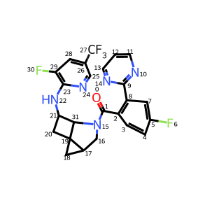 O=C(c1ccc(F)cc1-c1ncccn1)N1CC2CC23CC(Nc2ncc(C(F)(F)F)cc2F)C13